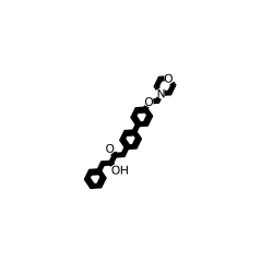 O=C(Cc1ccc(-c2ccc(OCN3CCOCC3)cc2)cc1)C(O)Cc1ccccc1